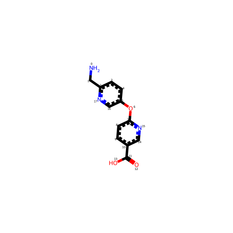 NCc1ccc(Oc2ccc(C(=O)O)cn2)cn1